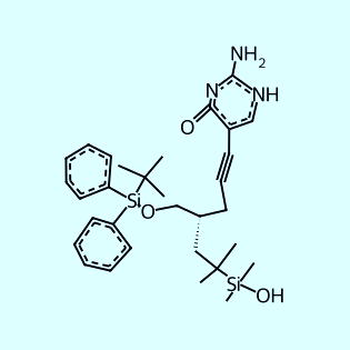 CC(C)(C[C@@H](CC#Cc1c[nH]c(N)nc1=O)CO[Si](c1ccccc1)(c1ccccc1)C(C)(C)C)[Si](C)(C)O